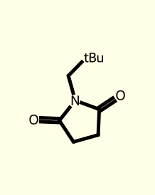 CC(C)(C)CN1C(=O)CCC1=O